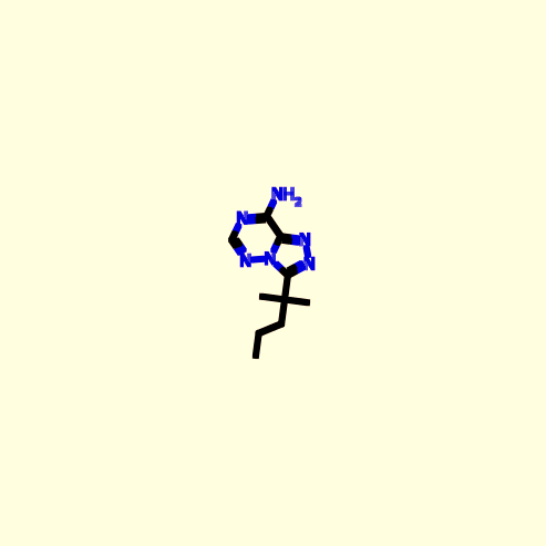 CCCC(C)(C)c1nnc2c(N)ncnn12